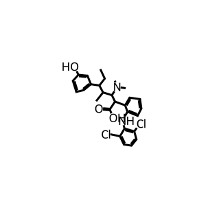 CCC(c1cccc(O)c1)C(C)C(C(C(=O)O)c1ccccc1Nc1c(Cl)cccc1Cl)N(C)C